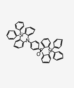 O=P1(c2ccc(N3c4ccccc4[Si](c4ccccc4)(c4ccccc4)c4ccccc43)cc2)c2ccccc2[Si](c2ccccc2)(c2ccccc2)c2ccccc21